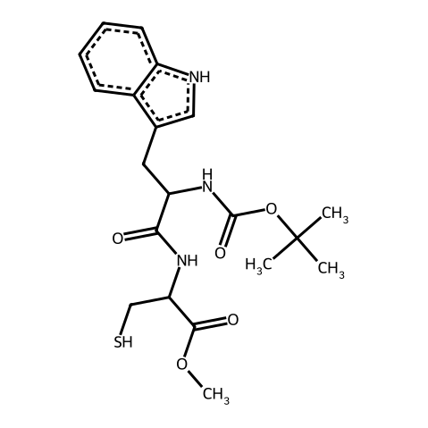 COC(=O)C(CS)NC(=O)C(Cc1c[nH]c2ccccc12)NC(=O)OC(C)(C)C